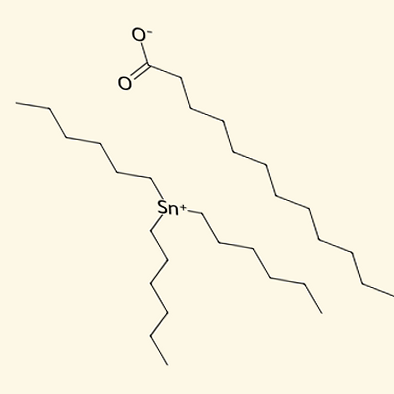 CCCCCCCCCCCC(=O)[O-].CCCCC[CH2][Sn+]([CH2]CCCCC)[CH2]CCCCC